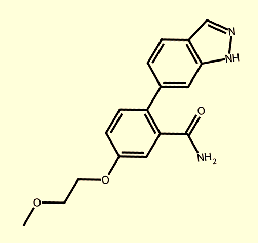 COCCOc1ccc(-c2ccc3cn[nH]c3c2)c(C(N)=O)c1